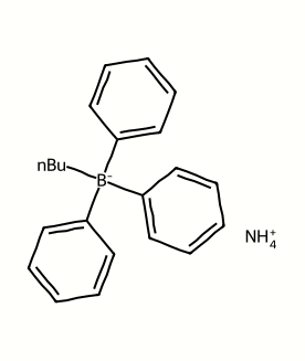 CCCC[B-](c1ccccc1)(c1ccccc1)c1ccccc1.[NH4+]